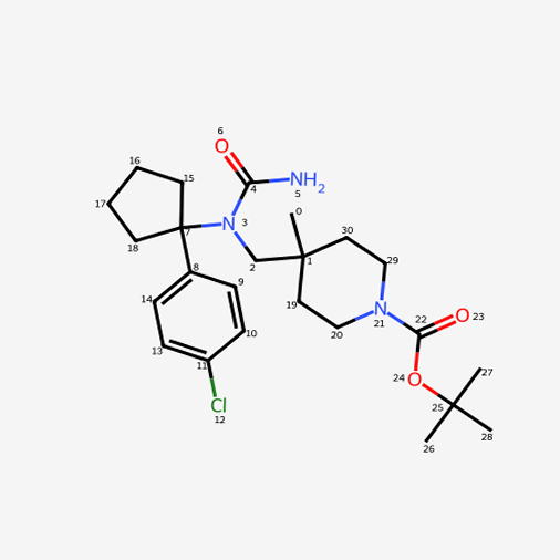 CC1(CN(C(N)=O)C2(c3ccc(Cl)cc3)CCCC2)CCN(C(=O)OC(C)(C)C)CC1